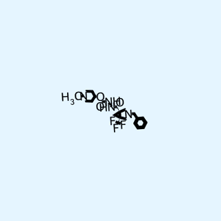 CN1CCC(OC(=O)NNC(=O)[C@]23CN(Cc4ccccc4)C[C@@]2(C(F)(F)F)C3)CC1